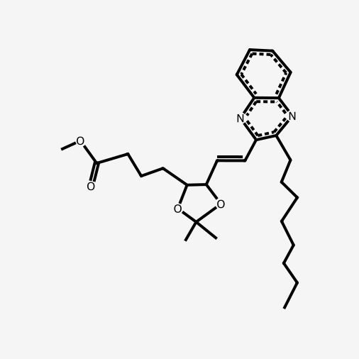 CCCCCCCCc1nc2ccccc2nc1/C=C/C1OC(C)(C)OC1CCCC(=O)OC